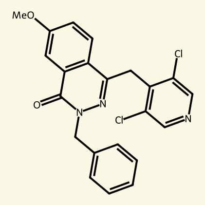 COc1ccc2c(Cc3c(Cl)cncc3Cl)nn(Cc3ccccc3)c(=O)c2c1